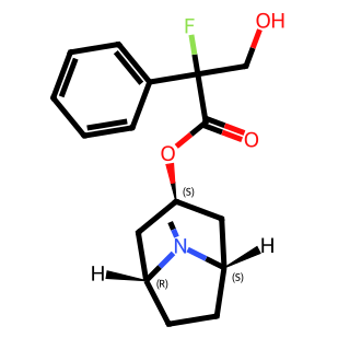 CN1[C@@H]2CC[C@H]1C[C@H](OC(=O)C(F)(CO)c1ccccc1)C2